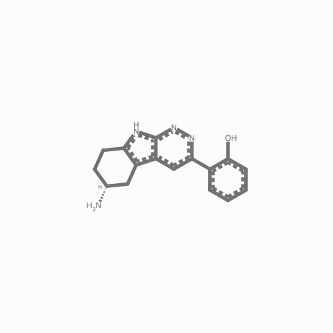 N[C@@H]1CCc2[nH]c3nnc(-c4ccccc4O)cc3c2C1